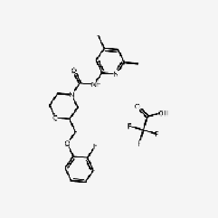 Cc1cc(C)nc(NC(=O)N2CCOC(COc3ccccc3F)C2)c1.O=C(O)C(F)(F)F